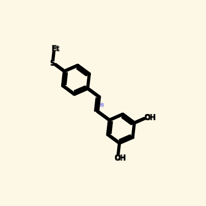 CCSc1ccc(/C=C/c2cc(O)cc(O)c2)cc1